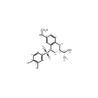 O=C(O)Nc1ccc2c(c1)N(S(=O)(=O)c1ccc(F)c(F)c1)C[C@@H]([C@H](O)C(F)(F)F)O2